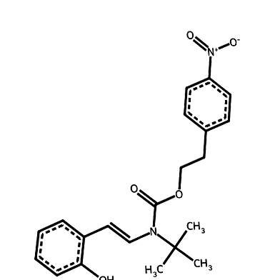 CC(C)(C)N(C=Cc1ccccc1O)C(=O)OCCc1ccc([N+](=O)[O-])cc1